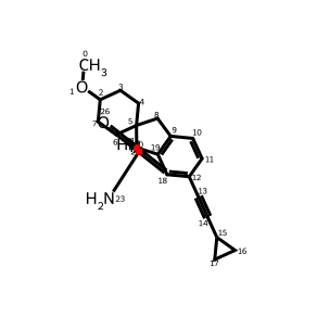 COC1CCC2(CC1)Cc1ccc(C#CC3CC3)cc1C21N=C(N)NC1=O